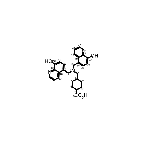 O=C(O)C1CCC(CN(Cc2ccc(O)c3ncccc23)Cc2ccc(O)c3ncccc23)CC1